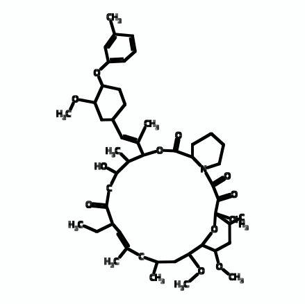 CCC1/C=C(\C)CC(C)CC(OC)C2OC(O)(C(=O)C(=O)N3CCCCC3C(=O)OC(C(C)=CC3CCC(Oc4cccc(C)c4)C(OC)C3)C(C)C(O)CC1=O)C(C)CC2OC